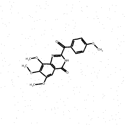 COc1ccc(C(=O)c2nc3c(OC)c(OC)c(OC)cc3c(=O)[nH]2)cc1